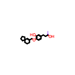 Oc1cc(CCC(O)I)ccc1OCC1=CC2(CCCC2)CCC1